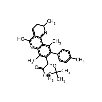 Cc1ccc(-c2c([C@H](OC(C)(C)C)C(=O)O)c(C)c3nc(O)c4c(c3c2C)=NC(C)CC=4)cc1